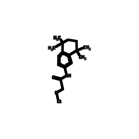 CCOCC(=O)Nc1ccc2c(c1)C(C)(C)CCC2(C)C